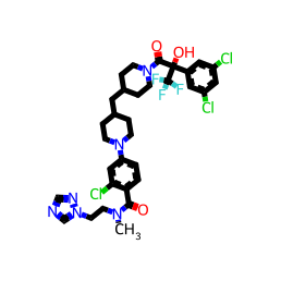 CN(CCn1cncn1)C(=O)c1ccc(N2CCC(CC3CCN(C(=O)C(O)(c4cc(Cl)cc(Cl)c4)C(F)(F)F)CC3)CC2)cc1Cl